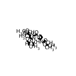 C[C@@H]1COC[C@H]2COc3c(nc(C(=O)N4CC[C@@H](NC(=O)OC(C)(C)C)C4)nc3C(C)(C)S(C)(=O)=O)N21